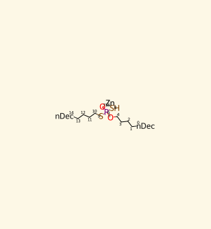 CCCCCCCCCCCCCCOP(=O)(S)SCCCCCCCCCCCCCC.[Zn]